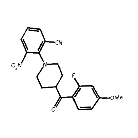 COc1ccc(C(=O)C2CCN(c3c(C#N)cccc3[N+](=O)[O-])CC2)c(F)c1